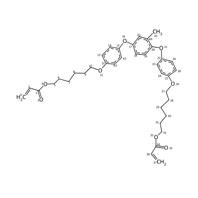 C=CC(=O)OCCCCCCOc1ccc(Oc2ccc(Oc3ccc(OCCCCCCOC(=O)C=C)cc3)c(C)c2)cc1